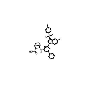 Cc1ccc(S(=O)(=O)n2cc(-c3nc(NC4C5CCC(CC5)C4C(=O)O)cc(-c4ccccc4)n3)c3ccc(F)nc32)cc1